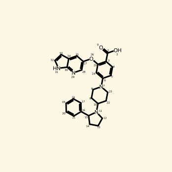 O=C(O)c1ccc(N2CCC(N3CCCC3c3ccccc3)CC2)cc1Oc1cnc2[nH]ccc2c1